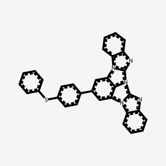 c1ccc(Sc2ccc(-c3cc4c5c(c3)n3c6ccccc6nc3n5c3nc5ccccc5n43)cc2)cc1